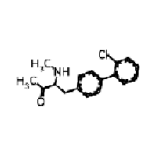 CN[C@@H](Cc1ccc(-c2ccccc2Cl)cc1)C(C)=O